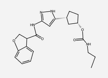 CCCNC(=O)O[C@H]1CC[C@@H](c2cc(NC(=O)C3COc4ccccc43)n[nH]2)C1